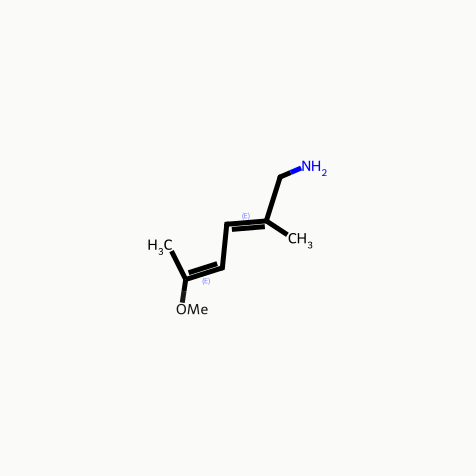 CO/C(C)=C/C=C(\C)CN